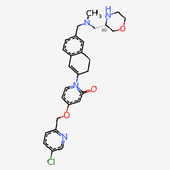 CN(Cc1ccc2c(c1)CCC(n1ccc(OCc3ccc(Cl)cn3)cc1=O)=C2)C[C@H]1COCCN1